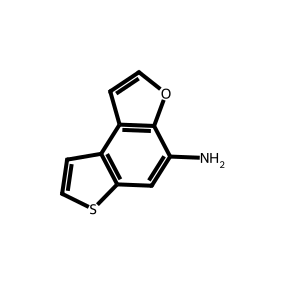 Nc1cc2sccc2c2ccoc12